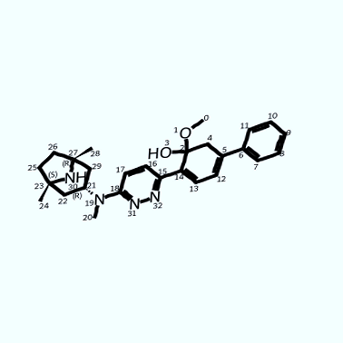 COC1(O)CC(c2ccccc2)=CC=C1c1ccc(N(C)[C@@H]2C[C@]3(C)CC[C@](C)(C2)N3)nn1